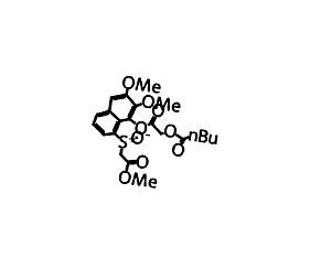 CCCCC(=O)OCC(=O)Oc1c(OC)c(OC)cc2cccc([S+]([O-])CC(=O)OC)c12